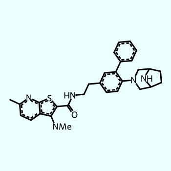 CNc1c(C(=O)NCCc2ccc(N3CC4CCC(C3)N4)c(-c3ccccc3)c2)sc2nc(C)ccc12